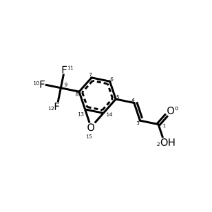 O=C(O)C=Cc1ccc(C(F)(F)F)c2c1O2